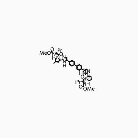 COC(=O)N[C@H](C(=O)N1CC(C)=C[C@H]1c1ncc(-c2ccc(-c3ccc(-c4cnc([C@@H]5CCCN5C(=O)[C@@H](NC(=O)OC)C(C)C)[nH]4)cc3)cc2)[nH]1)C(C)C